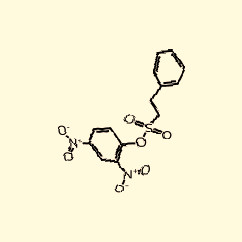 O=[N+]([O-])c1ccc(OS(=O)(=O)CCc2ccccc2)c([N+](=O)[O-])c1